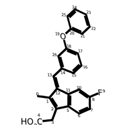 CC1=C(CC(=O)O)c2ccc(F)cc2/C1=C\c1cccc(Oc2ccccc2)c1